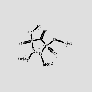 C=C(P(=O)(OCC)OCCCCCC)P(=O)(OCCCCCC)OCCCCCC